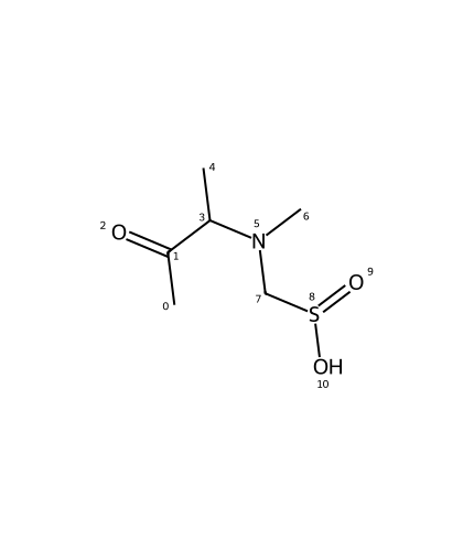 CC(=O)C(C)N(C)CS(=O)O